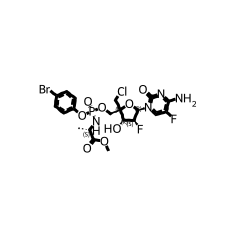 COC(=O)[C@H](C)NP(=O)(OC[C@@]1(CCl)O[C@@H](n2cc(F)c(N)nc2=O)[C@@H](F)[C@@H]1O)Oc1ccc(Br)cc1